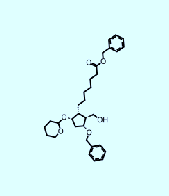 O=C(CCCCCC[C@@H]1[C@@H](CO)[C@H](OCc2ccccc2)C[C@@H]1OC1CCCCO1)OCc1ccccc1